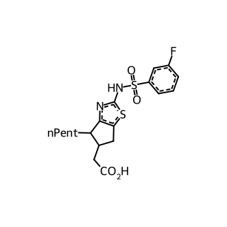 CCCCCC1c2nc(NS(=O)(=O)c3cccc(F)c3)sc2CC1CC(=O)O